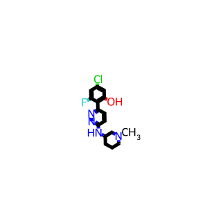 CN1CCCC(Nc2ccc(-c3c(O)cc(Cl)cc3F)nn2)C1